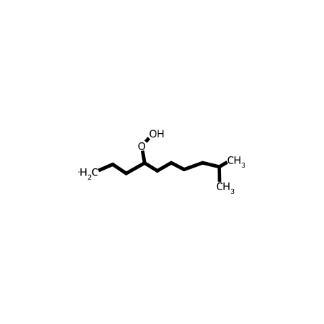 [CH2]CCC(CCCCC(C)C)OO